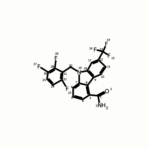 NC(=O)c1cccc2c1c1[c]cc(C(F)(F)F)cc1n2Cc1c(F)ccc(F)c1F